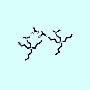 CC(=O)[O-].CC(=O)[O-].CCCC[P+](CCCC)(CCCC)CCN(C)C.CCCC[P+](CCCC)(CCCC)CCN(C)C